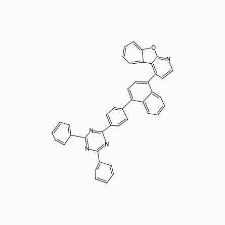 c1ccc(-c2nc(-c3ccccc3)nc(-c3ccc(-c4ccc(-c5ccnc6oc7ccccc7c56)c5ccccc45)cc3)n2)cc1